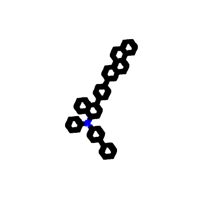 c1ccc(-c2ccc(N(c3ccccc3)c3ccc(-c4ccc(-c5ccc6c(ccc7c8ccccc8ccc67)c5)cc4)c4ccccc34)cc2)cc1